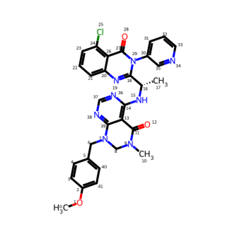 COc1ccc(CN2CN(C)C(=O)c3c(N[C@@H](C)c4nc5cccc(Cl)c5c(=O)n4-c4cccnc4)ncnc32)cc1